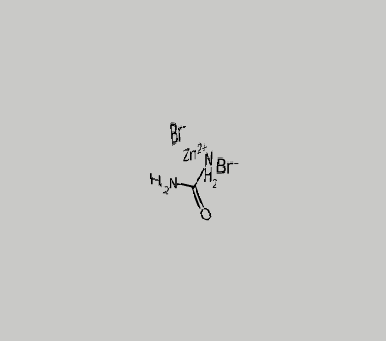 NC(N)=O.[Br-].[Br-].[Zn+2]